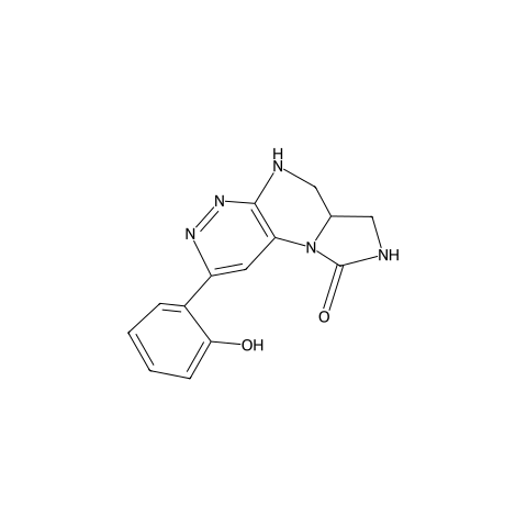 O=C1NCC2CNc3nnc(-c4ccccc4O)cc3N12